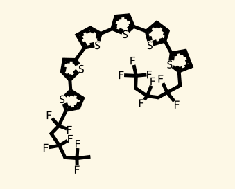 CC(F)(F)CC(F)(F)CC(F)(F)c1ccc(-c2ccc(-c3ccc(-c4ccc(-c5ccc(-c6ccc(CC(F)(F)CC(F)(F)CC(F)(F)F)s6)s5)s4)s3)s2)s1